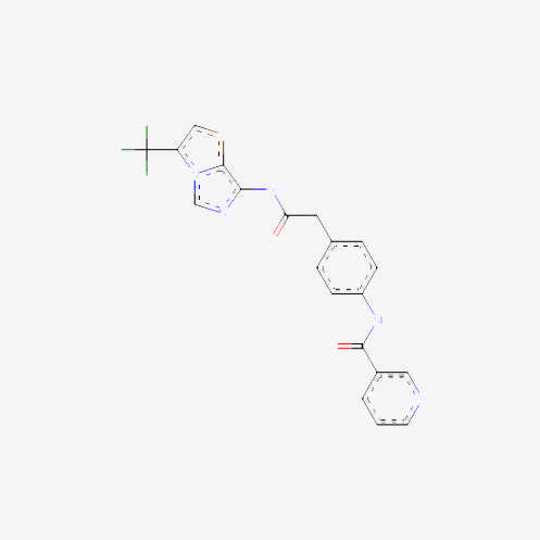 O=C(Cc1ccc(NC(=O)c2cccnc2)cc1)Nc1ncn2c(C(F)(F)F)csc12